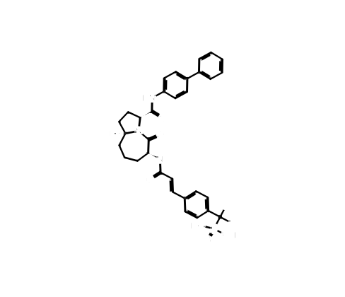 O=C(/C=C/c1ccc(C(F)(F)P(=O)(O)O)cc1)N[C@H]1CCC[C@H]2CC[C@@H](C(=O)Nc3ccc(-c4ccccc4)cc3)N2C1=O